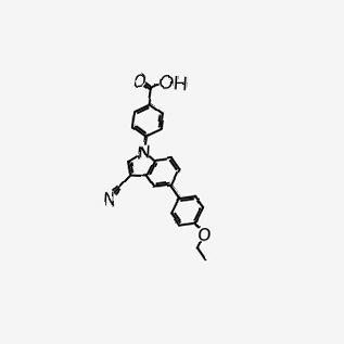 CCOc1ccc(-c2ccc3c(c2)c(C#N)cn3-c2ccc(C(=O)O)cc2)cc1